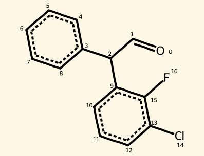 O=CC(c1ccccc1)c1cccc(Cl)c1F